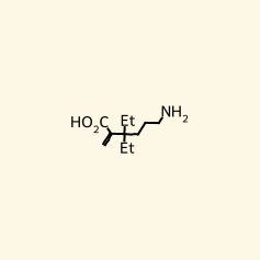 C=C(C(=O)O)C(CC)(CC)CCCN